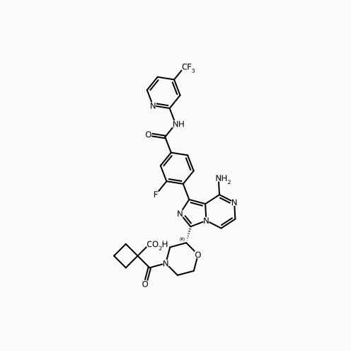 Nc1nccn2c([C@H]3CN(C(=O)C4(C(=O)O)CCC4)CCO3)nc(-c3ccc(C(=O)Nc4cc(C(F)(F)F)ccn4)cc3F)c12